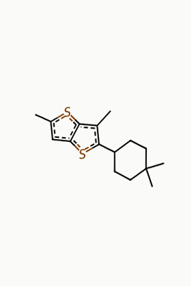 Cc1cc2sc(C3CCC(C)(C)CC3)c(C)c2s1